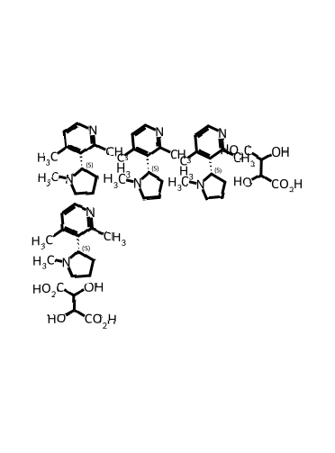 Cc1ccnc(C)c1[C@@H]1CCCN1C.Cc1ccnc(C)c1[C@@H]1CCCN1C.Cc1ccnc(C)c1[C@@H]1CCCN1C.Cc1ccnc(C)c1[C@@H]1CCCN1C.O=C(O)C(O)C(O)C(=O)O.O=C(O)C(O)C(O)C(=O)O